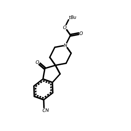 CC(C)(C)OC(=O)N1CCC2(CC1)Cc1cc(C#N)ccc1C2=O